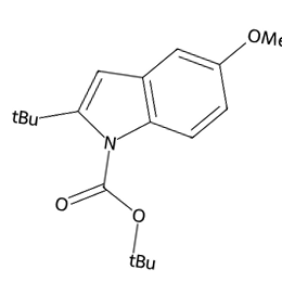 COc1ccc2c(c1)cc(C(C)(C)C)n2C(=O)OC(C)(C)C